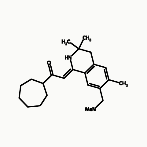 CNCc1cc2c(cc1C)CC(C)(C)N/C2=C\C(=O)C1CCCCCC1